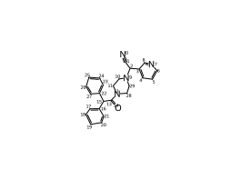 N#CC(c1cccnc1)N1CCN(C(=O)C(c2ccccc2)c2ccccc2)CC1